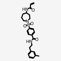 C=CC(=O)NC1CCCN(S(=O)(=O)c2ccc(C(=O)NCCc3cccc(C)c3)cc2)CC1